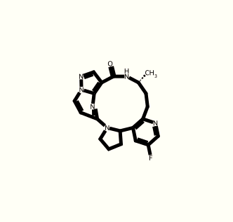 C[C@@H]1CCc2ncc(F)cc2C2CCCN2c2ccn3ncc(c3n2)C(=O)N1